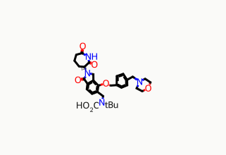 CC(C)(C)N(Cc1ccc2c(c1OCc1ccc(CN3CCOCC3)cc1)CN([C@H]1CCCC(=O)NC1=O)C2=O)C(=O)O